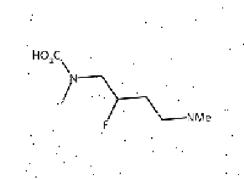 [CH2]N(CC(F)CCNC)C(=O)O